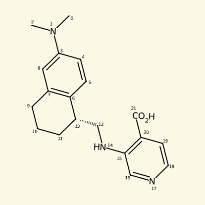 CN(C)c1ccc2c(c1)CCC[C@H]2CNc1cnccc1C(=O)O